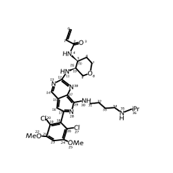 C=CC(=O)N[C@H]1CCOC[C@H]1Nc1ncc2cc(-c3c(Cl)c(OC)cc(OC)c3Cl)nc(NCCCCNC(C)C)c2n1